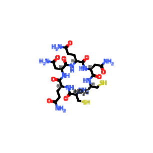 NC(=O)CC[C@H](NC(=O)[C@H](CC(N)=O)NC(=O)[C@H](CCC(N)=O)NC(=O)[C@@H](N)CS)C(=O)N[C@@H](CC(N)=O)C(=O)N[C@@H](CS)C(=O)O